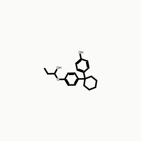 CCC(O)Oc1ccc(C2(c3ccc(O)cc3)CCCCC2)cc1